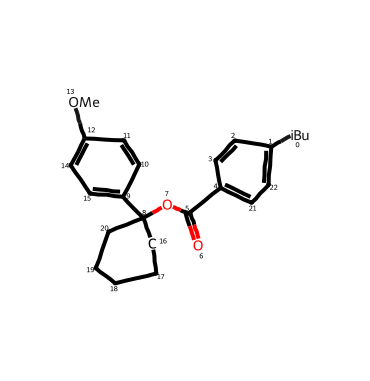 CCC(C)c1ccc(C(=O)OC2(c3ccc(OC)cc3)CCCCC2)cc1